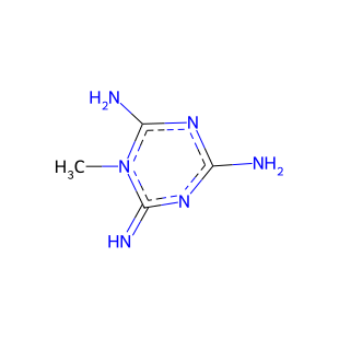 Cn1c(N)nc(N)nc1=N